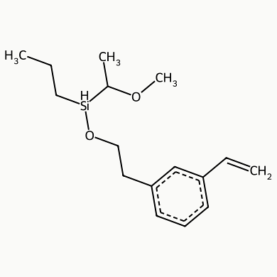 C=Cc1cccc(CCO[SiH](CCC)C(C)OC)c1